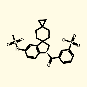 CS(=O)(=O)Nc1ccc2c(c1)C1(CCC3(CC3)CC1)CN2C(=O)c1cccc(S(=O)(=O)Cl)c1